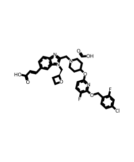 O=C(O)/C=C/c1ccc2nc(CN3CCC(Oc4ccc(F)c(OCc5ccc(Cl)cc5F)n4)CC3)n(C[C@@H]3CCO3)c2c1.O=CO